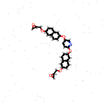 c1cc2cc(Oc3ccc(Oc4ccc5cc(OCC6CO6)ccc5c4)nc3)ccc2cc1OCC1CO1